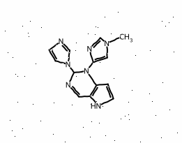 Cn1cnc(N2c3cc[nH]c3C=NC2n2ccnc2)c1